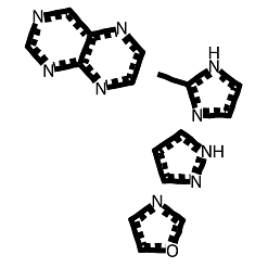 Cc1ncc[nH]1.c1cn[nH]c1.c1cnc2ncncc2n1.c1cocn1